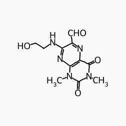 Cn1c(=O)c2nc(C=O)c(NCCO)nc2n(C)c1=O